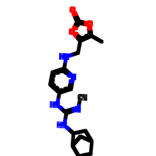 Cc1oc(=O)oc1CNc1ccc(NC(=NC#N)NC2CC3CCC2C3)cn1